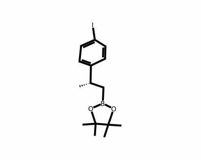 C[C@@H](CB1OC(C)(C)C(C)(C)O1)c1ccc(I)cc1